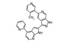 Cc1ccncc1-c1cc2c(-c3cc4c(-c5ccccn5)ccnc4[nH]3)n[nH]c2cn1